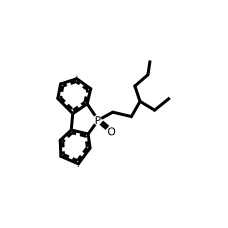 CCCC(CC)CCP1(=O)c2c[c]ccc2-c2cc[c]cc21